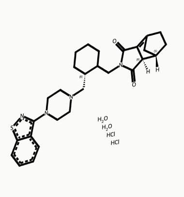 Cl.Cl.O.O.O=C1C2=C3CC[C@@H](C3)[C@H]2C(=O)N1CC1CCCC[C@H]1CN1CCN(c2nsc3ccccc23)CC1